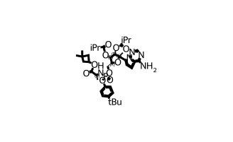 CC(C)C(=O)O[C@H]1[C@@H](OC(=O)C(C)C)[C@](C)(c2ccc3c(N)ncnn23)O[C@@H]1COP(=O)(N[C@@H](C)C(=O)OC1CC(C)(C)C1)Oc1ccc(C(C)(C)C)cc1